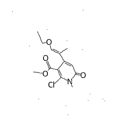 CCOC=C(C)c1cc(=O)n(C)c(Cl)c1C(=O)OC